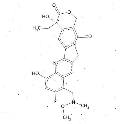 CC[C@@]1(O)C(=O)OCc2c1cc1n(c2=O)Cc2cc3c(CN(C)OC)c(F)cc(O)c3nc2-1